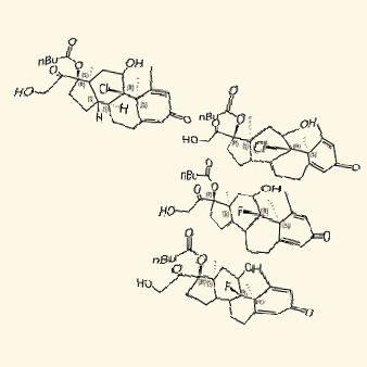 CCCCC(=O)O[C@]1(C(=O)CO)CCC2C3CCC4=CC(=O)C=C(C)[C@]4(C)[C@@]3(Cl)C(O)C[C@@]21C.CCCCC(=O)O[C@]1(C(=O)CO)CCC2C3CCC4=CC(=O)C=C(C)[C@]4(C)[C@@]3(F)C(O)C[C@@]21C.CCCCC(=O)O[C@]1(C(=O)CO)CCC2C3CCC4=CC(=O)C=C(C)[C@]4(C)[C@@]3(F)C(O)C[C@@]21C.CCCCC(=O)O[C@]1(C(=O)CO)CC[C@H]2[C@@H]3CCC4=CC(=O)C=C(C)[C@]4(C)[C@@]3(Cl)C(O)C[C@@]21C